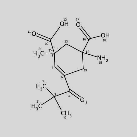 CC(C)(C)C(=O)C1=C[C@@](C)(C(=O)O)CC(N)(C(=O)O)C1